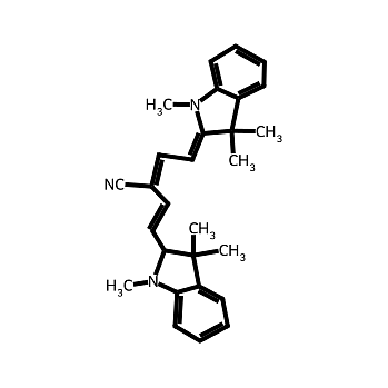 CN1C(=CC=C(C#N)C=CC2N(C)c3ccccc3C2(C)C)C(C)(C)c2ccccc21